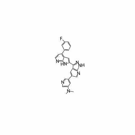 CN(C)c1cncc(-c2cnc3[nH]nc(-c4cc5c(-c6cccc(F)c6)ccnc5[nH]4)c3c2)c1